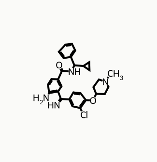 CN1CCC(Oc2ccc(C(=N)c3cc(C(=O)NC(c4ccccc4)C4CC4)ccc3N)cc2Cl)CC1